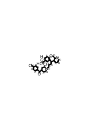 CC(C)(O)c1ccc2c(c1)C(=CCCN1CCC(C(=O)c3ccc(Cl)cc3)CC1)c1cccnc1CO2